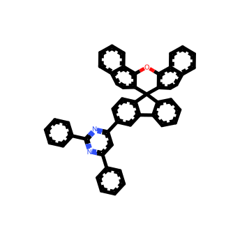 c1ccc(-c2cc(-c3ccc4c(c3)-c3ccccc3C43c4ccc5ccccc5c4Oc4c3ccc3ccccc43)nc(-c3ccccc3)n2)cc1